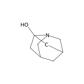 OC12CC3CC(CN1C3)C2